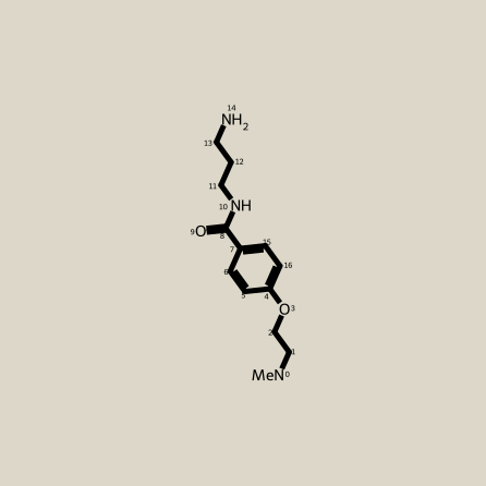 CNCCOc1ccc(C(=O)NCCCN)cc1